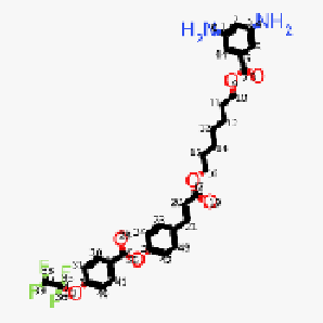 Nc1cc(N)cc(C(=O)OCCCCCCCOC(=O)C=Cc2ccc(OC(=O)c3ccc(OC(F)(F)C(F)F)cc3)cc2)c1